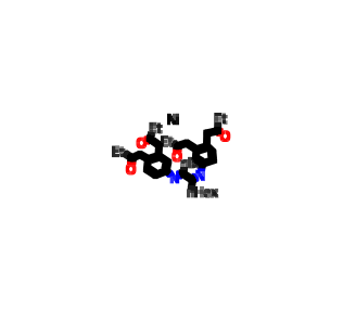 CCCCCCC(=Nc1ccc(CC(=O)CC)c(CC(=O)CC)c1)C(CCCC)=Nc1ccc(CC(=O)CC)c(CC(=O)CC)c1.[Ni]